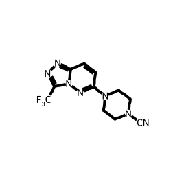 N#CN1CCN(c2ccc3nnc(C(F)(F)F)n3n2)CC1